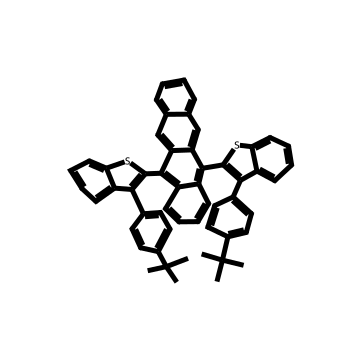 CC(C)(C)c1ccc(-c2c(-c3c4ccccc4c(-c4sc5ccccc5c4-c4ccc(C(C)(C)C)cc4)c4cc5ccccc5cc34)sc3ccccc23)cc1